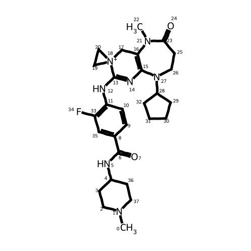 CN1CCC(NC(=O)c2ccc(NC3=NC4=C(C[N+]35CC5)N(C)C(=O)CCN4C3CCCC3)c(F)c2)CC1